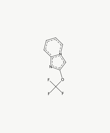 FC(F)(F)Oc1cn2ccccc2n1